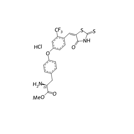 COC(=O)[C@@H](N)Cc1ccc(Oc2ccc(C=C3SC(=S)NC3=O)c(C(F)(F)F)c2)cc1.Cl